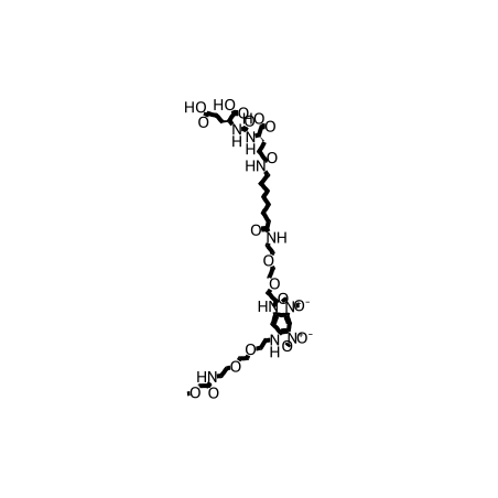 COCC(=O)NCCOCCOCCNc1cc(NCCOCCOCCNC(=O)CCCCCCCNC(=O)CC[C@H](NC(=O)N[C@@H](CCC(=O)O)C(=O)O)C(=O)O)c([N+](=O)[O-])cc1[N+](=O)[O-]